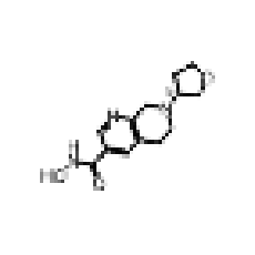 O=C(NO)c1cnc2c(c1)CCN([C@H]1CCOC1)C2